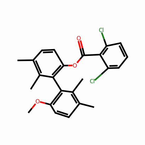 COc1ccc(C)c(C)c1-c1c(OC(=O)c2c(Cl)cccc2Cl)ccc(C)c1C